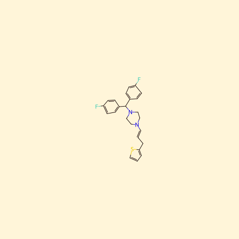 Fc1ccc(C(c2ccc(F)cc2)N2CCN(/C=C/Cc3cccs3)CC2)cc1